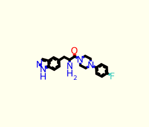 NC(Cc1ccc2[nH]ncc2c1)C(=O)N1CCN(c2ccc(F)cc2)CC1